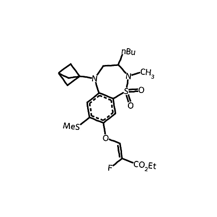 CCCCC1CN(C23CC(C2)C3)c2cc(SC)c(O/C=C(\F)C(=O)OCC)cc2S(=O)(=O)N1C